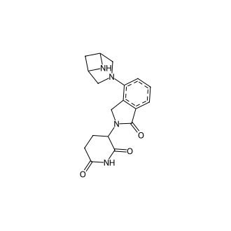 O=C1CCC(N2Cc3c(cccc3N3CC4CC(C3)N4)C2=O)C(=O)N1